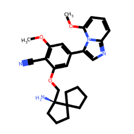 COc1cc(-c2cnc3cccc(OC)n23)cc(OC[C@@]2(N)CCCC23CCCC3)c1C#N